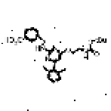 Cc1cccc(C)c1-c1cc(OCCNC(=O)OC(C)(C)C)nc(NSc2cccc(C(=O)O)c2)n1